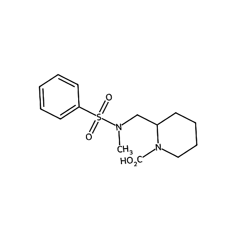 CN(CC1CCCCN1C(=O)O)S(=O)(=O)c1ccccc1